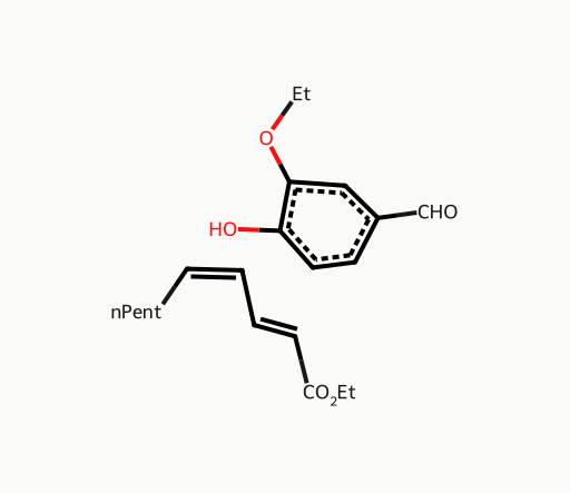 CCCCC/C=C\C=C\C(=O)OCC.CCOc1cc(C=O)ccc1O